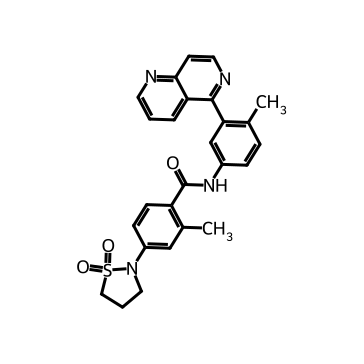 Cc1cc(N2CCCS2(=O)=O)ccc1C(=O)Nc1ccc(C)c(-c2nccc3ncccc23)c1